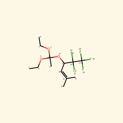 CCOC(C)(OCC)OC(C=C(C)C)C(Cl)(Br)C(F)(F)F